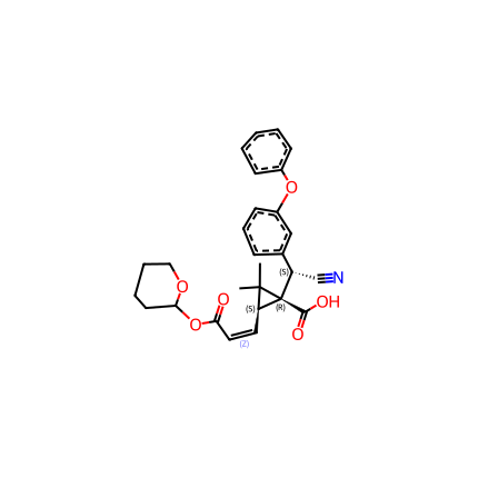 CC1(C)[C@H](/C=C\C(=O)OC2CCCCO2)[C@@]1(C(=O)O)[C@@H](C#N)c1cccc(Oc2ccccc2)c1